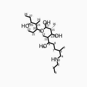 CCCNCC(C)CCC(O)C(C)C(O)[C@@H](C)C(O)OC(CC)C(C)[C@H](O)CC